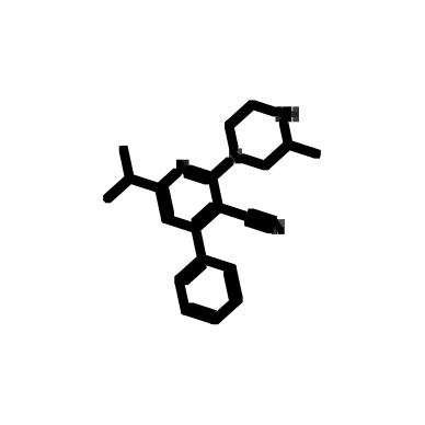 CC1CN(c2nc(C(C)C)cc(-c3ccccc3)c2C#N)CCN1